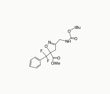 COC(=O)C1(C(F)(F)c2ccccc2)CC(CNC(=O)OC(C)(C)C)=NO1